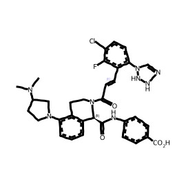 CN(C)C1CCN(c2cccc3c2CCN(C(=O)/C=C/c2c(N4C=NNN4)ccc(Cl)c2F)[C@H]3C(=O)Nc2ccc(C(=O)O)cc2)C1